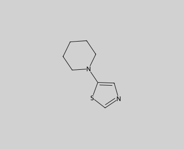 c1ncc(N2CCCCC2)s1